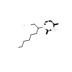 CCCCCCC(CC)n1ccc(=O)[nH]c1=O